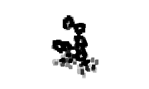 CC(C)(C)OC(=O)n1c(-n2c3ccc(C(C)(C)C)cc3c3ccc(-c4cccc(-c5ccccn5)c4)nc32)cc2ccccc21